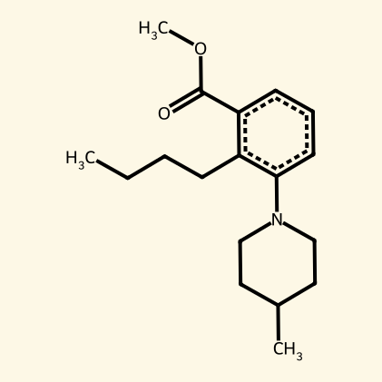 CCCCc1c(C(=O)OC)cccc1N1CCC(C)CC1